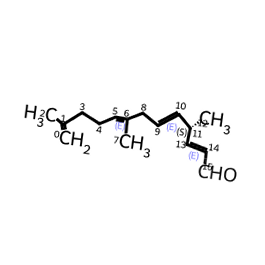 C=C(C)CC/C=C(\C)C/C=C/[C@H](C)/C=C/C=O